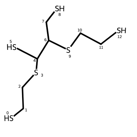 SCCSC(S)C(CS)SCCS